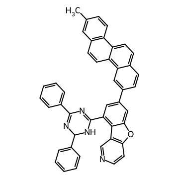 Cc1ccc2c(ccc3c4cc(-c5cc(C6=NC(c7ccccc7)=NC(c7ccccc7)N6)c6c(c5)oc5ccncc56)ccc4ccc23)c1